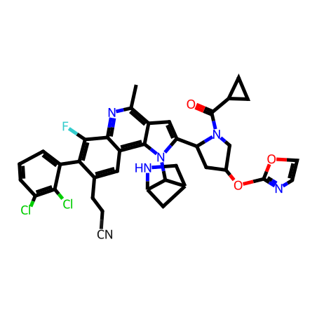 Cc1nc2c(F)c(-c3cccc(Cl)c3Cl)c(CCC#N)cc2c2c1cc(C1CC(Oc3ncco3)CN1C(=O)C1CC1)n2C1C2CNC1C2